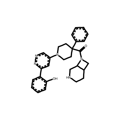 O=C(N1CC2CCNCC21)C1(c2ccccc2)CCN(c2cnnc(-c3ccccc3O)c2)CC1